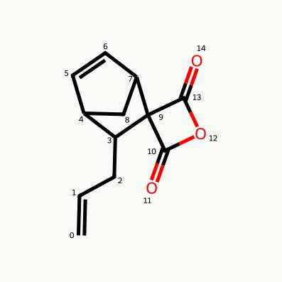 C=CCC1C2C=CC(C2)C12C(=O)OC2=O